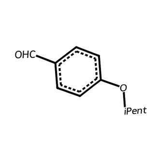 [CH2]C([CH]CC)Oc1ccc(C=O)cc1